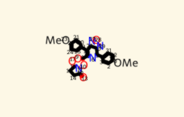 COc1ccc(-c2nc(C(=O)ON3C(=O)CCC3=O)c(-c3ccc(OC)cc3)c3nonc23)cc1